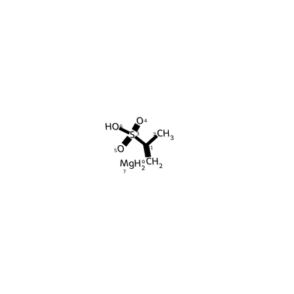 C=C(C)S(=O)(=O)O.[MgH2]